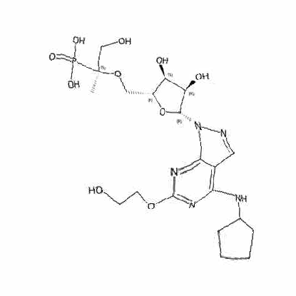 C[C@](CO)(OC[C@H]1O[C@@H](n2ncc3c(NC4CCCC4)nc(OCCO)nc32)[C@H](O)[C@@H]1O)P(=O)(O)O